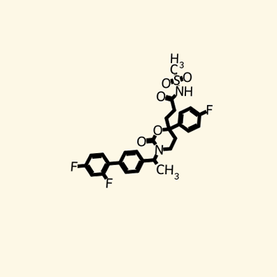 CC(c1ccc(-c2ccc(F)cc2F)cc1)N1CCC(CCC(=O)NS(C)(=O)=O)(c2ccc(F)cc2)OC1=O